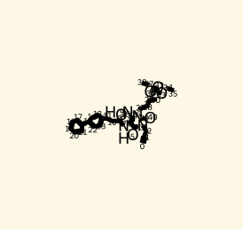 C#CCn1c(=O)c(NC(=O)CCc2ccc(-c3ccccc3)cc2)c(N)n(CCCCP(=O)(OCC)OCC)c1=O